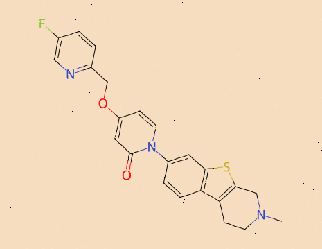 CN1CCc2c(sc3cc(-n4ccc(OCc5ccc(F)cn5)cc4=O)ccc23)C1